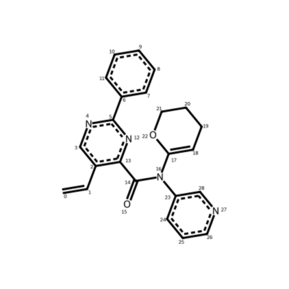 C=Cc1cnc(-c2ccccc2)nc1C(=O)N(C1=CCCCO1)c1cccnc1